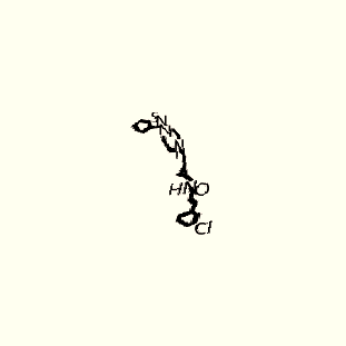 O=C(/C=C/c1cccc(Cl)c1)NCC1CC1CN1CCN(c2nsc3ccccc23)CC1